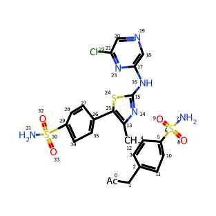 CC(=O)Cc1ccc(S(N)(=O)=O)cc1.Cc1nc(Nc2cncc(Cl)n2)sc1-c1ccc(S(N)(=O)=O)cc1